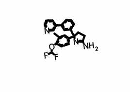 Cc1cc(C2(c3cccc(-c4cccnc4)c3)CCC(N)=N2)ccc1OC(F)F